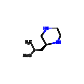 COC(C)C[C@H]1CNCCN1